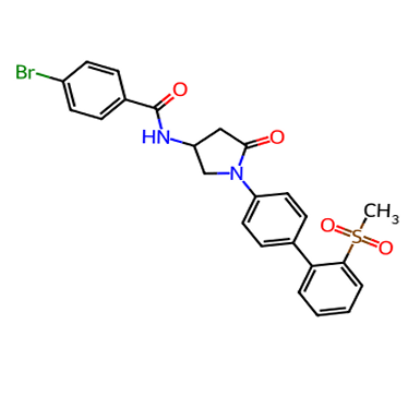 CS(=O)(=O)c1ccccc1-c1ccc(N2CC(NC(=O)c3ccc(Br)cc3)CC2=O)cc1